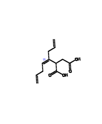 C=CC/C=C(/CC=C)C(CC(=O)O)C(=O)O